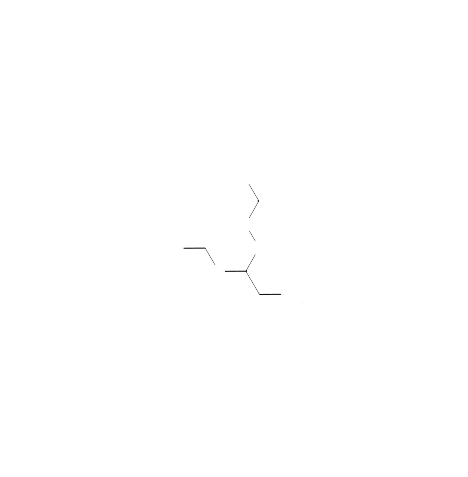 [CH2]CC(OCC)[SiH2]OCC